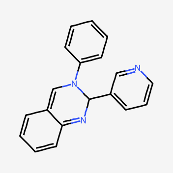 C1=c2ccccc2=NC(c2cccnc2)N1c1ccccc1